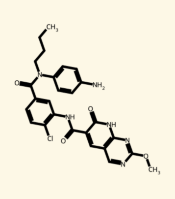 CCCCN(C(=O)c1ccc(Cl)c(NC(=O)c2cc3cnc(OC)nc3[nH]c2=O)c1)c1ccc(N)cc1